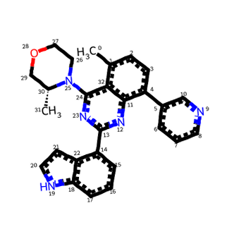 Cc1ccc(-c2cccnc2)c2nc(-c3cccc4[nH]ccc34)nc(N3CCOC[C@H]3C)c12